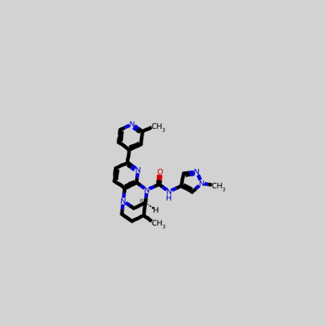 Cc1cc(-c2ccc3c(n2)N(C(=O)Nc2cnn(C)c2)[C@@H]2CN3CCC2C)ccn1